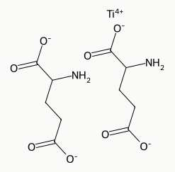 NC(CCC(=O)[O-])C(=O)[O-].NC(CCC(=O)[O-])C(=O)[O-].[Ti+4]